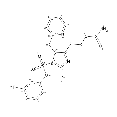 CC(C)c1nc(CCOC(N)=O)n(Cc2ccccn2)c1S(=O)(=O)Oc1cccc(F)c1